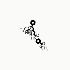 COC(=O)c1ccc(NC(=O)C=CC(CCc2ccccc2)NC(=O)[C@H](C)N)cc1